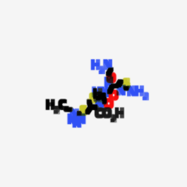 C=CCn1nnnc1SCC1=C(C(=O)O)N2C(=O)C(NC(=O)C(=NOCCN)c3csc(N)n3)[C@@H]2SC1